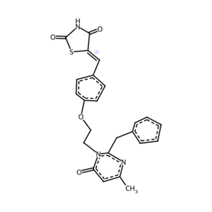 Cc1cc(=O)n(CCOc2ccc(/C=C3\SC(=O)NC3=O)cc2)c(Cc2ccccc2)n1